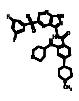 CN1CCC(c2ccc(C(=O)Nc3n[nH]c4ncc(S(=O)(=O)c5cc(F)cc(F)c5)nc34)c(NC3CCOCC3)c2)CC1